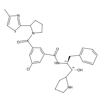 Cc1csc(C2CCCN2C(=O)c2cc(Cl)cc(C(=O)N[C@@H](Cc3ccccc3)[C@H](O)C3CCCN3)c2)n1